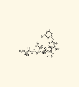 CC(C)[C@H](NC(=O)Cc1cccc(Br)c1)C(=O)N1CCC[C@H]1C(=O)N[C@@H](CCCNC(=N)N)C(=O)CF